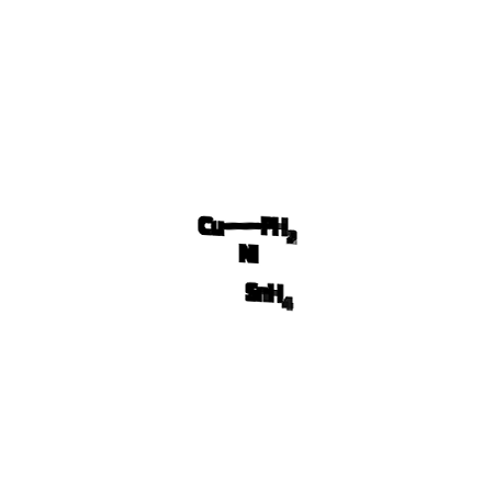 [Ni].[PH2][Cu].[SnH4]